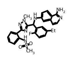 CCc1ccc(F)c(C(Nc2ccc3c(N)nccc3c2)c2nc(-c3ccccc3NS(C)(=O)=O)nn2C)c1